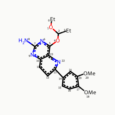 CCOC(CC)Oc1nc(N)nc2ccc(-c3ccc(OC)c(OC)c3)nc12